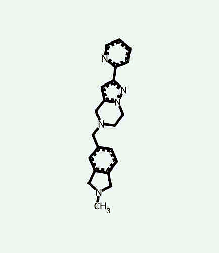 CN1Cc2ccc(CN3CCn4nc(-c5ccccn5)cc4C3)cc2C1